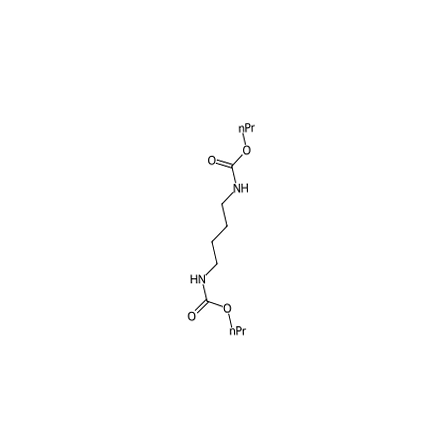 CCCOC(=O)NCCCCNC(=O)OCCC